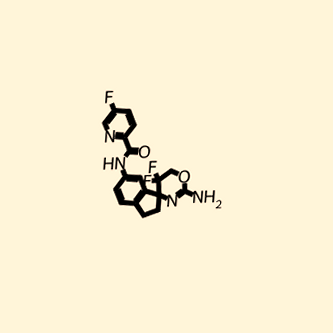 NC1=NC2(CCc3ccc(NC(=O)c4ccc(F)cn4)cc32)C(F)(F)CO1